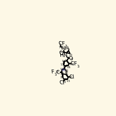 O=C(NC1(C(=O)NCC(F)(F)F)CC1)c1ccc(/C(F)=C/C(c2cc(Cl)cc(Cl)c2)C(F)(F)F)cc1C(F)(F)F